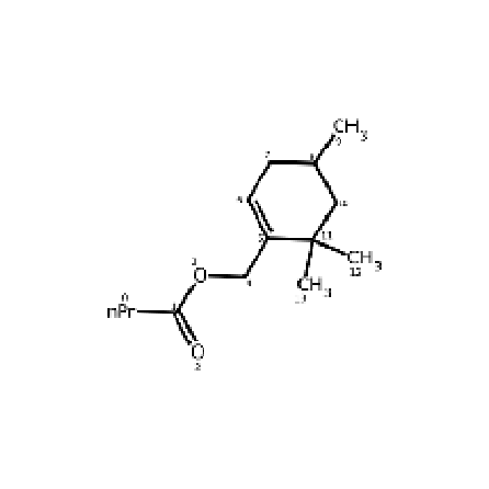 CCCC(=O)OCC1=CCC(C)CC1(C)C